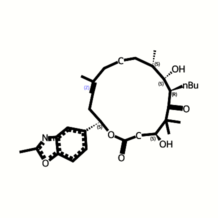 CCCC[C@H]1C(=O)C(C)(C)[C@@H](O)CC(=O)O[C@H](c2ccc3oc(C)nc3c2)C/C=C(/C)CCC[C@H](C)[C@@H]1O